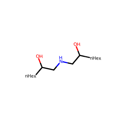 CCCCCCC(O)CNCC(O)CCCCCC